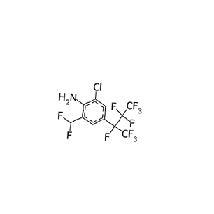 Nc1c(Cl)cc(C(F)(C(F)(F)F)C(F)(F)C(F)(F)F)cc1C(F)F